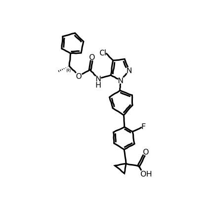 C[C@@H](OC(=O)Nc1c(Cl)cnn1-c1ccc(-c2ccc(C3(C(=O)O)CC3)cc2F)cc1)c1ccccc1